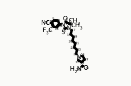 CC1(C)C(=O)N(c2ccc(C#N)c(C(F)(F)F)c2)C(=S)N1CCCCCCCCN1CC[C@H](C(N)=O)C1